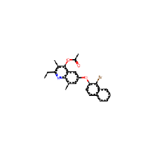 CCc1nc2c(C)cc(Oc3ccc4ccccc4c3Br)cc2c(OC(C)=O)c1C